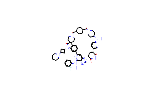 CC(C)n1cnc2cc(-c3ccc4c(c3)N(C3CC(N5CCCCC5)C3)C(=O)C43CCN(C(=O)C4CCC(C(=O)N5CCC(Nc6ccc([C@H]7CCC(=O)NC7=O)cn6)CC5)CC4)CC3)nc(Nc3ccccc3F)c21